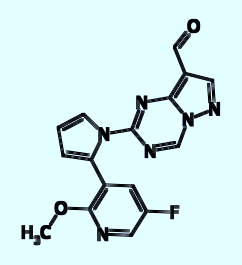 COc1ncc(F)cc1-c1cccn1-c1ncn2ncc(C=O)c2n1